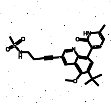 COc1c(C(C)(C)C)cc(-c2ccc(C)[nH]c2=O)c2ncc(C#CCCNS(C)(=O)=O)cc12